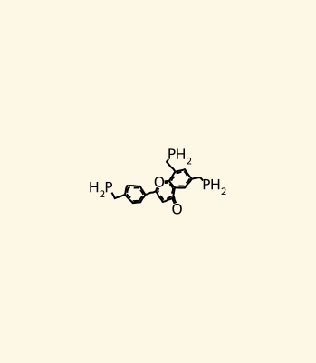 O=c1cc(-c2ccc(CP)cc2)oc2c(CP)cc(CP)cc12